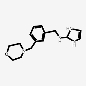 C1=CNC(NCc2cccc(CN3CCOCC3)c2)N1